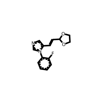 Fc1ccccc1-n1cncc1C=CC1OCCO1